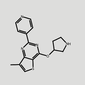 Cc1csc2c(OC3CCNC3)nc(-c3ccncc3)nc12